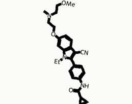 CCn1c(-c2ccc(NC(=O)C3CC3)cc2)c(C#N)c2ccc(OCCN(C)CCOC)cc21